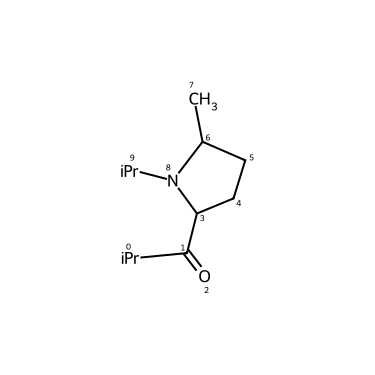 CC(C)C(=O)C1CCC(C)N1C(C)C